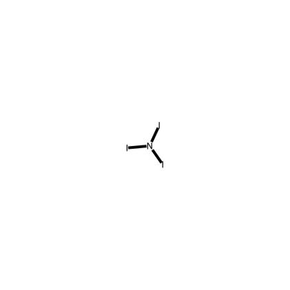 IN(I)I